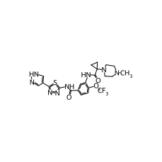 CN1CCN(C2(C(=O)Nc3cc(C(=O)Nc4nnc(C5=CNCN=C5)s4)ccc3OC(F)(F)F)CC2)CC1